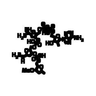 BBC1CC(OP(=O)(O)OCC2OC(C)CC2OC)C(COP(=O)(O)OC2CC(B(B)B)OC2COP(=O)(O)OP(=O)(O)OCC2OC(n3cnc4c(N)ncnc43)C(C)C2O)O1